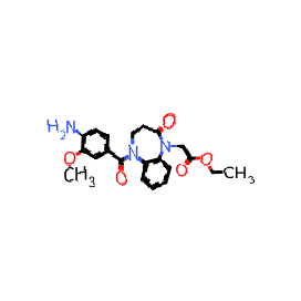 CCOC(=O)CN1C(=O)CCN(C(=O)c2ccc(N)c(OC)c2)c2ccccc21